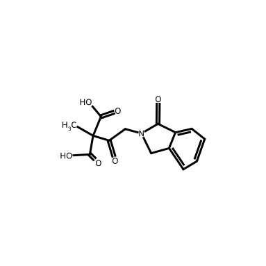 CC(C(=O)O)(C(=O)O)C(=O)CN1Cc2ccccc2C1=O